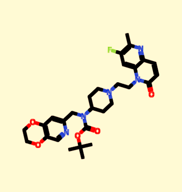 Cc1nc2ccc(=O)n(CCN3CCC(N(Cc4cc5c(cn4)OCCO5)C(=O)OC(C)(C)C)CC3)c2cc1F